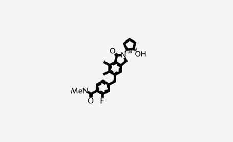 CNC(=O)c1ccc(Cc2cc3c(c(C)c2C)C(=O)N([C@H]2CCC[C@@H]2O)C3)cc1F